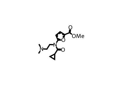 COC(=O)c1ccc(N(CCN(C)C)C(=O)C2CC2)o1